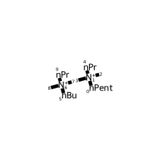 CCCCC[N+](C)(C)CCC.CCCC[N+](C)(C)CCC